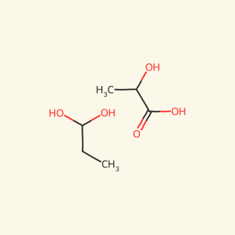 CC(O)C(=O)O.CCC(O)O